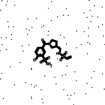 C=CS(=O)(=O)NCC1CCN(C(=O)c2ccc(Cl)c(S(N)(=O)=O)c2)C1